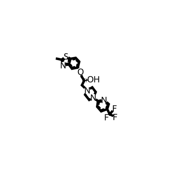 Cc1nc2cc(OC[C@@H](O)CN3CCN(c4ccc(C(F)(F)F)cn4)CC3)ccc2s1